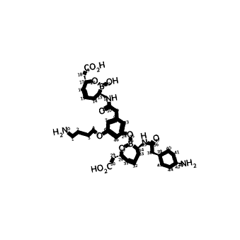 NCCCCOc1cc(CC(=O)N[C@H]2CC=C[C@H](CC(=O)O)OB2O)cc(OB2O[C@@H](CC(=O)O)C=CC[C@@H]2NC(=O)C[C@H]2CC[C@H](N)CC2)c1